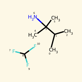 CC(C)C(C)(C)N.FC(F)F